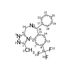 Cc1nnc2n1-c1cc(C(F)(F)F)ccc1C(c1ccccc1)=NC2